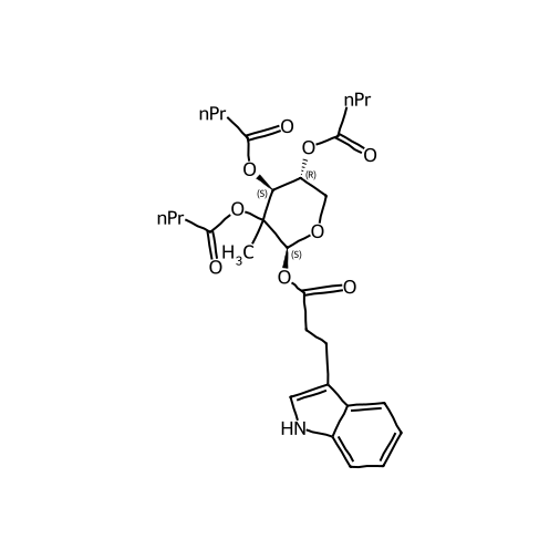 CCCC(=O)O[C@@H]1CO[C@@H](OC(=O)CCc2c[nH]c3ccccc23)C(C)(OC(=O)CCC)[C@H]1OC(=O)CCC